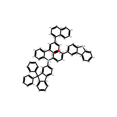 c1ccc(C2(c3ccccc3)c3ccccc3-c3ccc(N(c4ccc(-c5ccc6sc7ccccc7c6c5)cc4)c4ccccc4-c4cccc(-c5cccc6ccccc56)c4)cc32)cc1